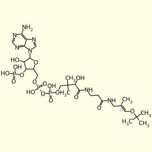 C/C(=C\OC(C)(C)C)CNC(=O)CCNC(=O)C(O)C(C)(C)COP(=O)(O)OP(=O)(O)OCC1OC(n2cnc3c(N)ncnc32)C(O)C1OP(=O)(O)O